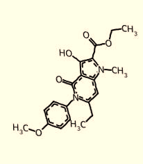 CCOC(=O)c1c(O)c2c(=O)n(-c3ccc(OC)cc3)c(CC)cc2n1C